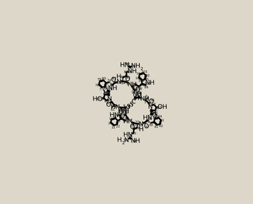 C[C@@H]1NC(=O)[C@@H]2CSS[C@H](NC(=O)[C@H](Cc3c[nH]c4ccccc34)NC(=O)[C@H](CCCNC(=N)N)NC(=O)[C@@H](Cc3ccccc3)NC(=O)[C@@H]3C[C@@H](O)CN3C1=O)C(=O)N[C@@H](C)C(=O)N1C[C@H](O)C[C@H]1C(=O)N[C@H](Cc1ccccc1)C(=O)N[C@@H](CCCNC(=N)N)C(=O)N[C@@H](CCc1c[nH]c3ccccc13)C(=O)N2